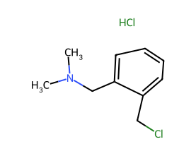 CN(C)Cc1ccccc1CCl.Cl